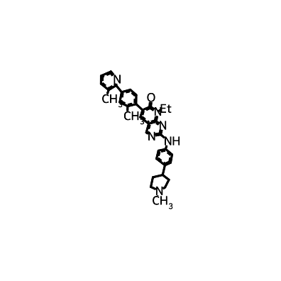 CCn1c(=O)c(-c2ccc(-c3ncccc3C)cc2C)cc2cnc(Nc3ccc(C4CCN(C)CC4)cc3)nc21